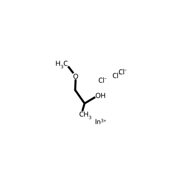 COCC(C)O.[Cl-].[Cl-].[Cl-].[In+3]